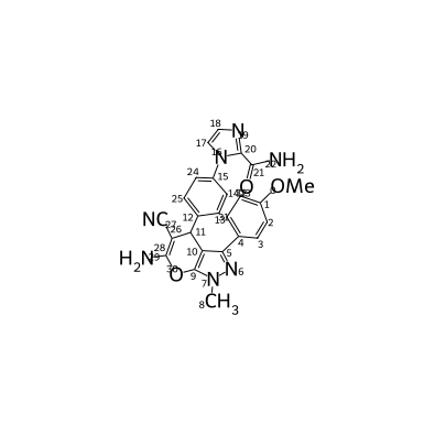 COc1ccc(-c2nn(C)c3c2C(c2ccc(-n4ccnc4C(N)=O)cc2)C(C#N)=C(N)O3)cc1